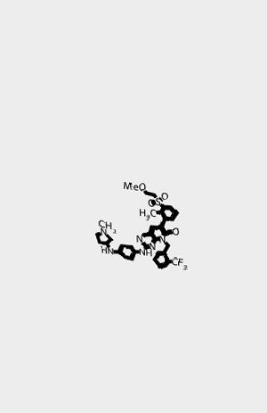 COCCS(=O)(=O)c1cccc(-c2cc3cnc(Nc4ccc(NC5CCN(C)C5)cc4)nc3n(Cc3ccccc3C(F)(F)F)c2=O)c1C